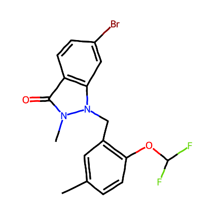 Cc1ccc(OC(F)F)c(Cn2c3cc(Br)ccc3c(=O)n2C)c1